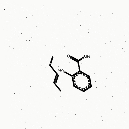 CC=CCC.O=C(O)c1ccccc1O